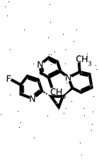 CC1=CC=CC([C@H]2C[C@@H]2c2ccc(F)cn2)N1c1ccncc1C